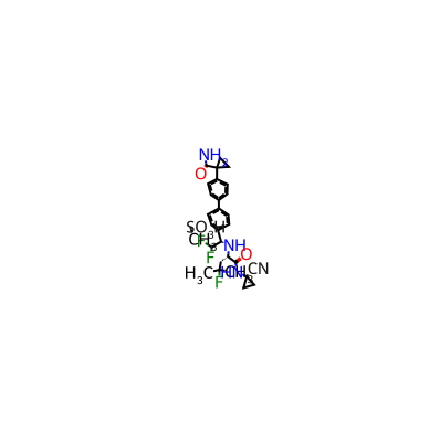 CC(C)(F)C[C@H](N[C@@H](c1ccc(-c2ccc(C3(C(N)=O)CC3)cc2)cc1)C(F)F)C(=O)NC1(C#N)CC1.CS(=O)(=O)O